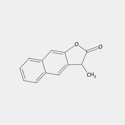 CC1C(=O)Oc2cc3ccccc3cc21